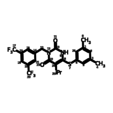 Cc1cc(C)cc(Sc2[nH]c(=O)n(Cc3cc(C(F)(F)F)cc(C(F)(F)F)c3)c(=O)c2C(C)C)c1